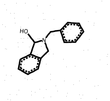 OC1c2ccccc2CN1Cc1ccccc1